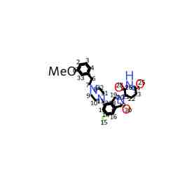 COc1cccc(CCN2CCN(c3cc(F)cc4c3CN(C3CCC(=O)NC3=O)C4=O)CC2)c1